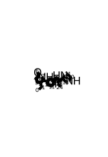 CCc1ccc(=O)[nH]c1-c1ccc2c(c1)cc(C1CNCCN1)n2C